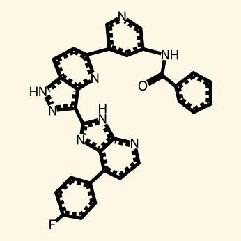 O=C(Nc1cncc(-c2ccc3[nH]nc(-c4nc5c(-c6ccc(F)cc6)ccnc5[nH]4)c3n2)c1)c1ccccc1